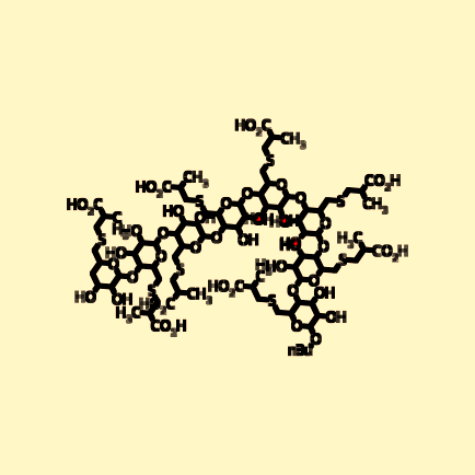 CCCCOC1OC(CSCC(C)C(=O)O)C(OC2OC(CSCC(C)C(=O)O)C(OC3OC(CSCC(C)C(=O)O)C(OC4OC(CSCC(C)C(=O)O)C(OC5OC(CSCC(C)C(=O)O)C(OC6OC(CSCC(C)C(=O)O)C(OC7OC(CSCC(C)C(=O)O)C(OC8OC(CSCC(C)C(=O)O)CC(O)C8O)C(O)C7O)C(O)C6O)C(O)C5O)C(O)C4O)C(O)C3O)C(O)C2O)C(O)C1O